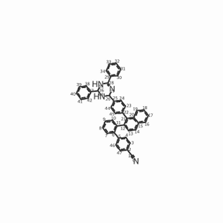 N#Cc1ccc(-c2ccccc2-c2ccc3ccccc3c2-c2ccc(C3N=C(c4ccccc4)NC(c4ccccc4)N3)cc2)cc1